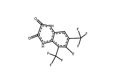 O=c1[nH]c2cc(C(F)(F)F)c(F)c(C(F)(F)F)c2[nH]c1=O